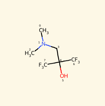 CN(C)CC(O)(C(F)(F)F)C(F)(F)F